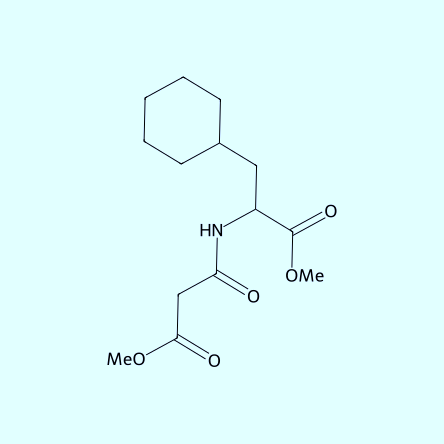 COC(=O)CC(=O)NC(CC1CCCCC1)C(=O)OC